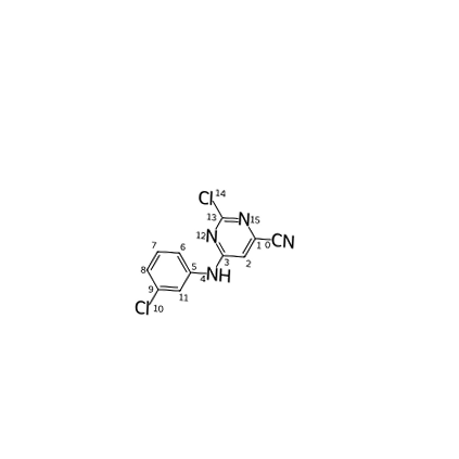 N#Cc1cc(Nc2cccc(Cl)c2)nc(Cl)n1